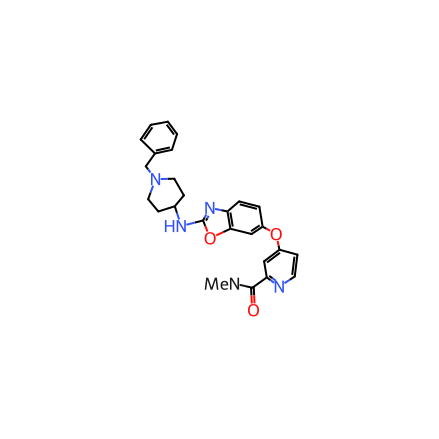 CNC(=O)c1cc(Oc2ccc3nc(NC4CCN(Cc5ccccc5)CC4)oc3c2)ccn1